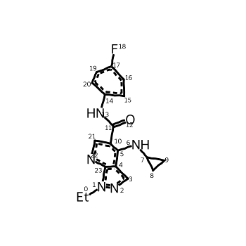 CCn1ncc2c(NC3CC3)c(C(=O)Nc3ccc(F)cc3)cnc21